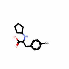 O=C(O)C(Cc1cc[c]([RaH])cc1)NC1CCCC1